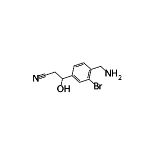 N#CCC(O)c1ccc(CN)c(Br)c1